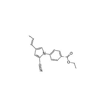 CC=Cc1cc(C#N)n(-c2ccc(C(=O)OCC)cc2)c1